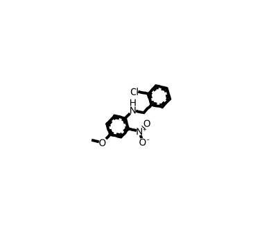 COc1ccc(NCc2ccccc2Cl)c([N+](=O)[O-])c1